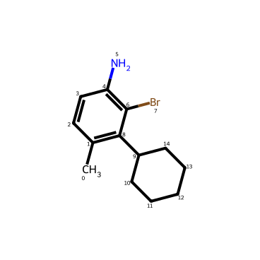 Cc1ccc(N)c(Br)c1C1CCCCC1